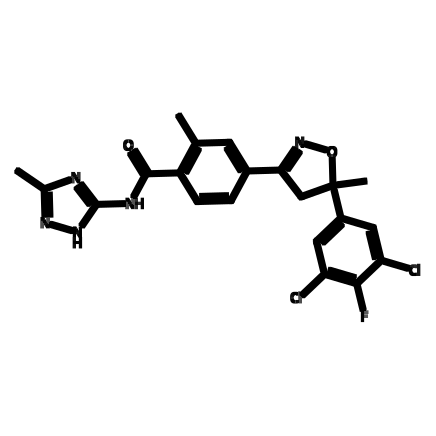 Cc1n[nH]c(NC(=O)c2ccc(C3=NOC(C)(c4cc(Cl)c(F)c(Cl)c4)C3)cc2C)n1